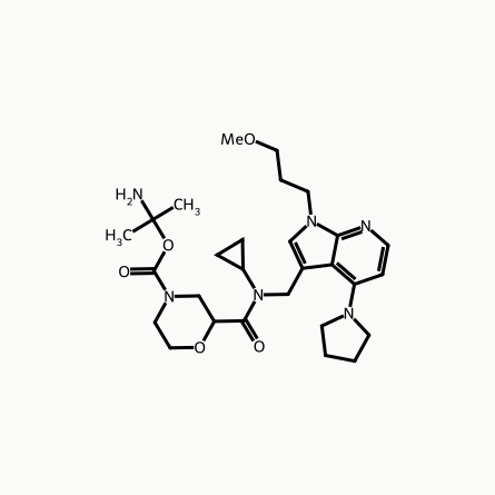 COCCCn1cc(CN(C(=O)C2CN(C(=O)OC(C)(C)N)CCO2)C2CC2)c2c(N3CCCC3)ccnc21